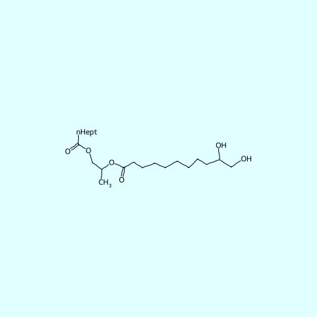 CCCCCCCC(=O)OCC(C)OC(=O)CCCCCCCCC(O)CO